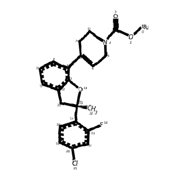 CC(C)(C)OC(=O)N1CC=C(c2cccc3c2O[C@](C)(c2ccc(Cl)cc2F)C3)CC1